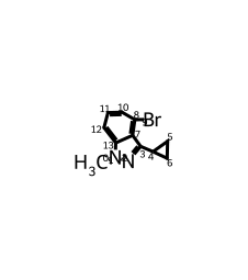 Cn1nc(C2CC2)c2c(Br)cccc21